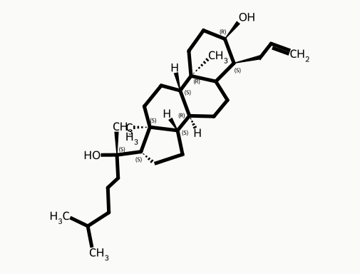 C=CC[C@H]1C2CC[C@H]3[C@@H]4CC[C@H]([C@@](C)(O)CCCC(C)C)[C@@]4(C)CC[C@@H]3[C@@]2(C)CC[C@H]1O